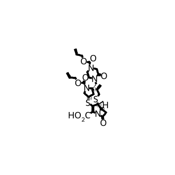 C=CCOC(=O)N1CCN(C[C@@H]2C[C@H](SC3=C(C(=O)O)N4C(=O)C[C@H]4[C@@]3(C)SCC=C)CN2C(=O)OCC=C)C(=O)C1